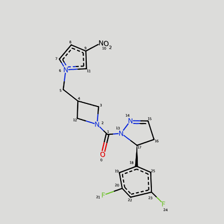 O=C(N1CC(Cn2ccc([N+](=O)[O-])c2)C1)N1N=CC[C@H]1c1cc(F)cc(F)c1